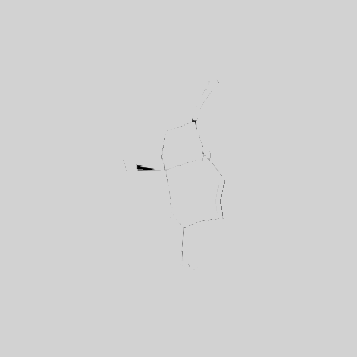 O=C1C[C@H]2SC(S(=O)(=O)O)C=CN12